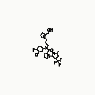 Cc1cc(C(F)(F)F)cc(N2CCC[C@H]2C(=O)N(CCCN2CCC[C@H]2CO)c2ccc(F)c(Cl)c2)n1